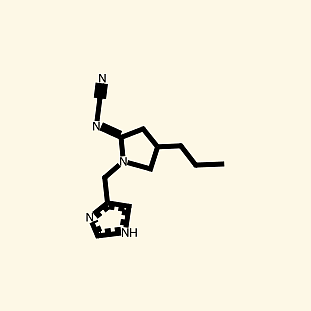 CCCC1CC(=NC#N)N(Cc2c[nH]cn2)C1